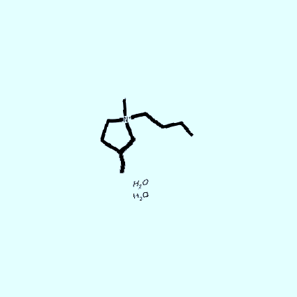 CCCC[N+]1(C)CCC(C)C1.O.O